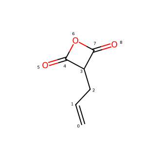 C=CCC1C(=O)OC1=O